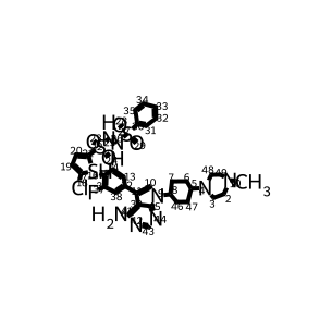 CN1CCN(C2CCC(n3cc(-c4ccc([SH]5C(Cl)=CC=C5S(=O)(=O)NNS(=O)(=O)c5ccccc5)c(F)c4)c4c(N)ncnc43)CC2)CC1